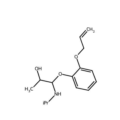 C=CCOc1ccccc1OC(NC(C)C)C(C)O